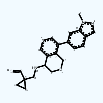 Cn1ncc2ccc(-c3cncc4c3COCC4NCC3(C=O)CC3)cc21